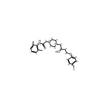 Cc1cccc(C)c1NC(=O)CN1CCN(CC(O)CCOc2ccc(F)cc2)CC1